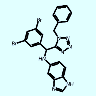 Brc1cc(Br)cc(C(Nc2ccc3[nH]cnc3c2)c2nnnn2Cc2ccccc2)c1